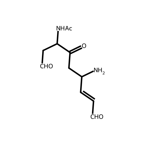 CC(=O)NC(CC=O)C(=O)CC(N)C=CC=O